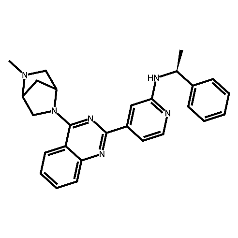 C[C@H](Nc1cc(-c2nc(N3CC4CC3CN4C)c3ccccc3n2)ccn1)c1ccccc1